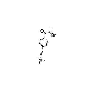 CC(Br)C(=O)c1ccc(C#C[Si](C)(C)C)cc1